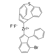 Brc1cccc2c1C(c1ccccc1)[C]([Zr+2][C]1=Cc3cc4ccc3C1c1cccc(c1)S4)=C2.[F-].[F-]